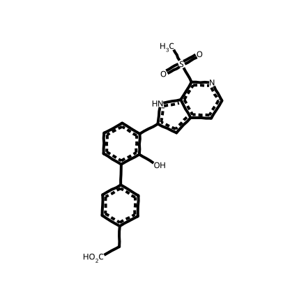 CS(=O)(=O)c1nccc2cc(-c3cccc(-c4ccc(CC(=O)O)cc4)c3O)[nH]c12